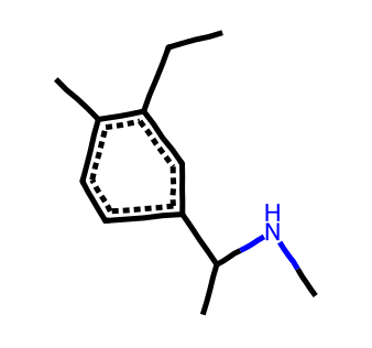 CCc1cc(C(C)NC)ccc1C